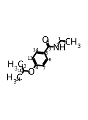 CCNC(=O)c1ccc(OC(C)C)cc1